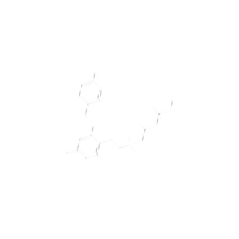 COC(=O)CC(O)CS(=O)(=O)CCc1c(Cl)cc(Cl)cc1OCc1ccc(F)cc1